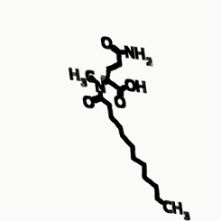 CCCCCCCCCCCC(=O)N(C)[C@@H](CCC(N)=O)C(=O)O